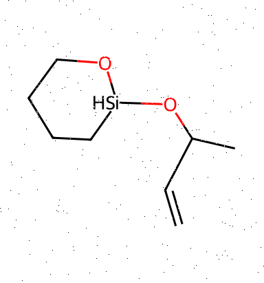 C=CC(C)O[SiH]1CCCCO1